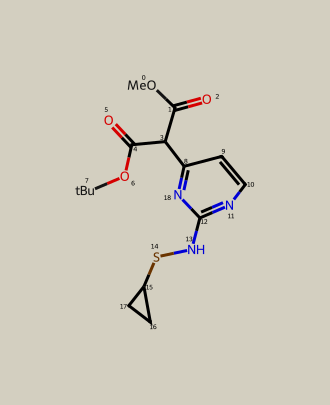 COC(=O)C(C(=O)OC(C)(C)C)c1ccnc(NSC2CC2)n1